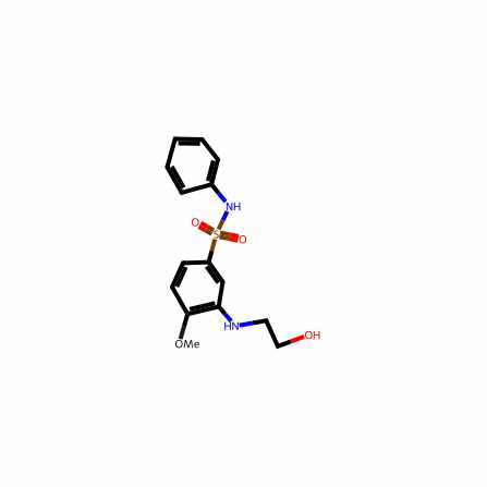 COc1ccc(S(=O)(=O)Nc2ccccc2)cc1NCCO